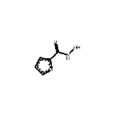 O=C(NO)c1cccs1